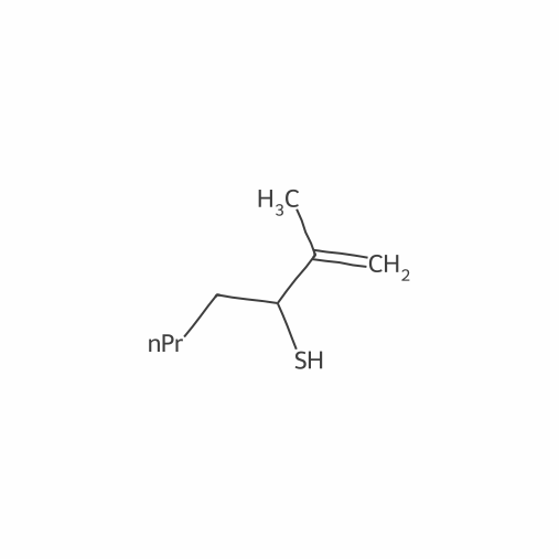 C=C(C)C(S)CCCC